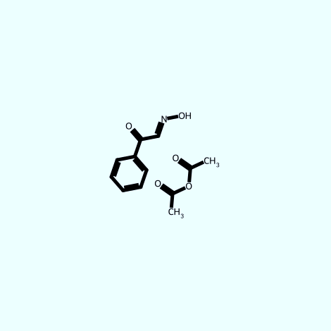 CC(=O)OC(C)=O.O=C(C=NO)c1ccccc1